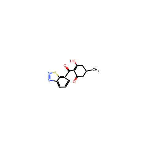 CC1CC(=O)C(C(=O)c2cccc3nnsc23)=C(O)C1